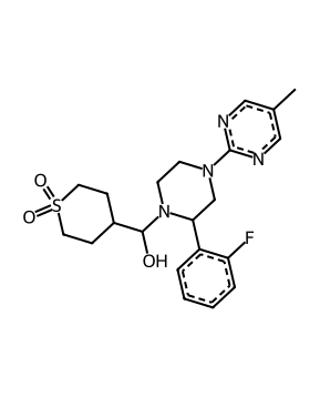 Cc1cnc(N2CCN(C(O)C3CCS(=O)(=O)CC3)C(c3ccccc3F)C2)nc1